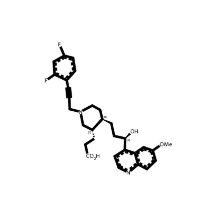 COc1ccc2nccc([C@H](O)CC[C@@H]3CCN(CC#Cc4ccc(F)cc4F)C[C@H]3CCC(=O)O)c2c1